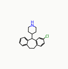 Clc1ccc2c(c1)C(C1CCNCC1)c1ccccc1CC2